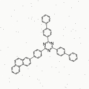 c1ccc(-c2ccc(-c3nc(-c4ccc(-c5ccccc5)cc4)nc(-c4ccc(-c5ccc6c(ccc7ccccc76)c5)cc4)n3)cc2)cc1